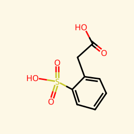 O=C(O)Cc1ccccc1S(=O)(=O)O